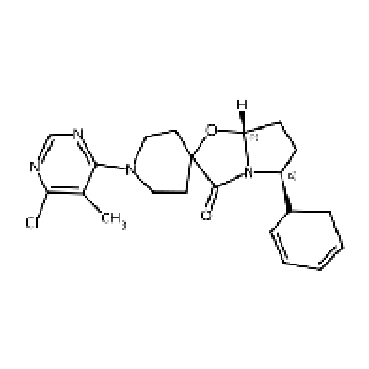 Cc1c(Cl)ncnc1N1CCC2(CC1)O[C@@H]1CC[C@@H](C3C=CC=CC3)N1C2=O